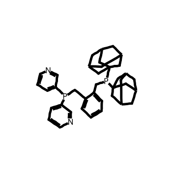 c1cncc(P(Cc2ccccc2CP(C23CC4CC(CC(C4)C2)C3)C23CC4CC(CC(C4)C2)C3)c2cccnc2)c1